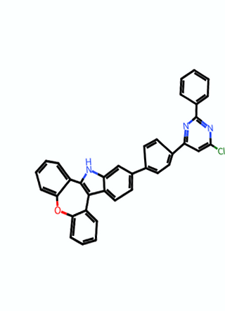 Clc1cc(-c2ccc(-c3ccc4c5c([nH]c4c3)-c3ccccc3Oc3ccccc3-5)cc2)nc(-c2ccccc2)n1